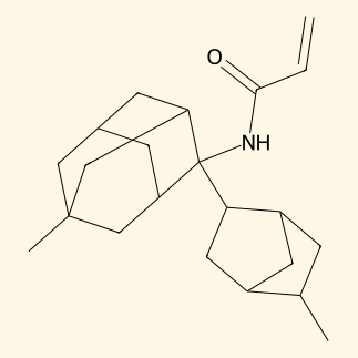 C=CC(=O)NC1(C2CC3CC2CC3C)C2CC3CC1CC(C)(C3)C2